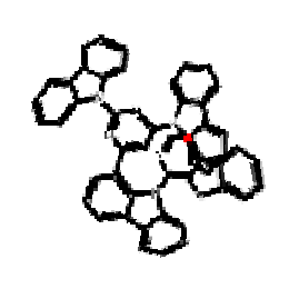 c1ccc2c(c1)sc1c(-n3c4ccccc4c4cccc(-c5cc(-n6c7ccccc7c7ccccc76)nc(-n6c7ccccc7c7ccccc76)n5)c43)nccc12